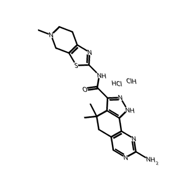 CN1CCc2nc(NC(=O)c3n[nH]c4c3C(C)(C)Cc3cnc(N)nc3-4)sc2C1.Cl.Cl